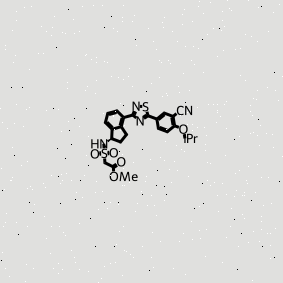 COC(=O)CS(=O)(=O)N[C@@H]1CCc2c(-c3nsc(-c4ccc(OC(C)C)c(C#N)c4)n3)cccc21